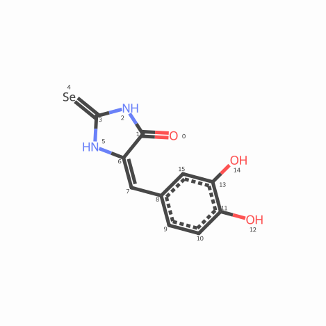 O=C1NC(=[Se])NC1=Cc1ccc(O)c(O)c1